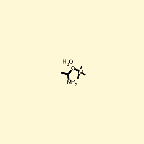 CC(N)O[N+](C)(C)C.O